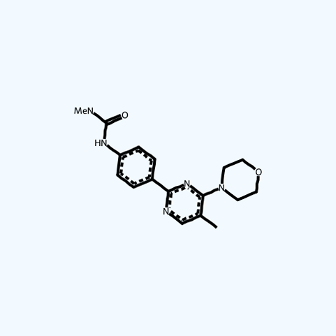 CNC(=O)Nc1ccc(-c2ncc(C)c(N3CCOCC3)n2)cc1